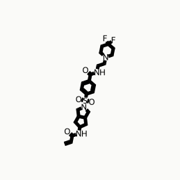 C=CC(=O)NC1CC2CN(S(=O)(=O)c3ccc(C(=O)NCCN4CCC(F)(F)CC4)cc3)CC2C1